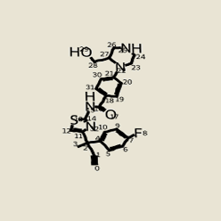 C#CC(C)(c1ccc(F)cc1)c1csc(NC(=O)c2ccc(N3CCNCC3CO)cc2)n1